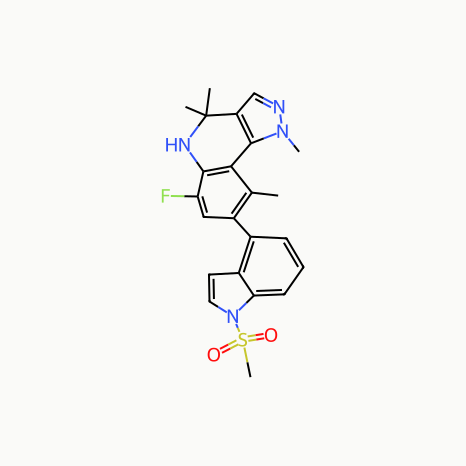 Cc1c(-c2cccc3c2ccn3S(C)(=O)=O)cc(F)c2c1-c1c(cnn1C)C(C)(C)N2